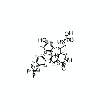 O=C(O)NCC[C@H]1CNC(=O)c2cc(-c3cccc(OC(F)(F)F)c3)c(-c3ccc(O)cc3)n21